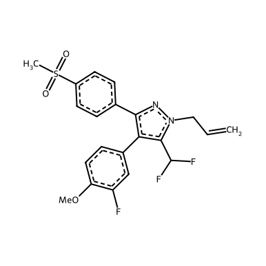 C=CCn1nc(-c2ccc(S(C)(=O)=O)cc2)c(-c2ccc(OC)c(F)c2)c1C(F)F